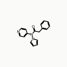 O=C(Cc1ccccc1)N(c1ccncc1)n1cccc1